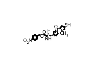 CN1C[C@@H](S)C[C@H]1C(=O)N1CC[C@H](CNC(=N)C(=O)OCc2ccc([N+](=O)[O-])cc2)C1